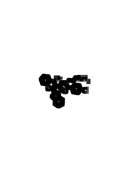 CC(C)C(c1nc2n(c(=O)c1Cc1ccccc1)Cc1ccccc1-2)N(CCCN)C(=O)c1ccc(Cl)cc1